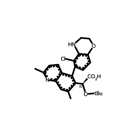 Cc1ccc2c(-c3ccc4c(c3Cl)NCCO4)c([C@H](OC(C)(C)C)C(=O)O)c(C)cc2n1